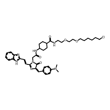 CN(C)c1ccc(/C=C2N=C(/C=C/c3nc4ccccc4[nH]3)N(CC(=O)NC3CCC(C(=O)NCCOCCOCCCCCCCl)CC3)C/2=O)cc1